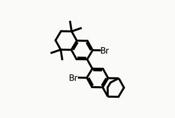 CC1(C)CCC(C)(C)c2cc(-c3cc4c(cc3Br)C3CCC4CC3)c(Br)cc21